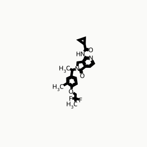 Cc1cc(C(C)N2Cc3c(ccnc3NC(=O)C3CC3)C2=O)ccc1OCC(C)(F)F